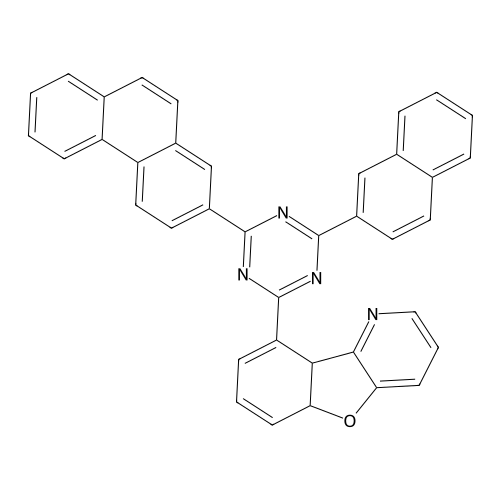 C1=CC2Oc3cccnc3C2C(c2nc(-c3ccc4ccccc4c3)nc(-c3ccc4c(ccc5ccccc54)c3)n2)=C1